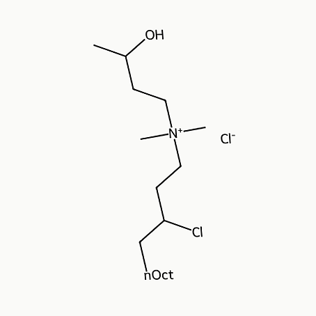 CCCCCCCCCC(Cl)CC[N+](C)(C)CCC(C)O.[Cl-]